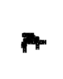 O=C(Nc1nc(NC2CCCC2)c2ncn(C3O[C@H](CO)[C@@H](O)[C@H]3O)c2n1)c1c[nH]nn1